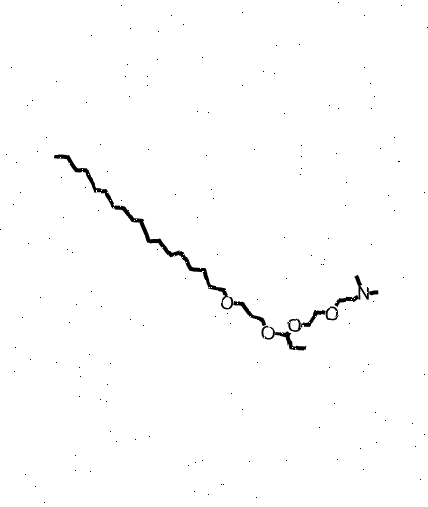 CCCCCCCCCCCCCCCCCCOCCCOC(CC)OCCOCCN(C)C